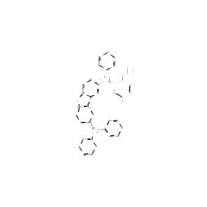 CC1C=CC=CC1N(c1ccccc1)c1ccc2sc3ccc(N(c4ccccc4)c4ccccc4)cc3c2c1